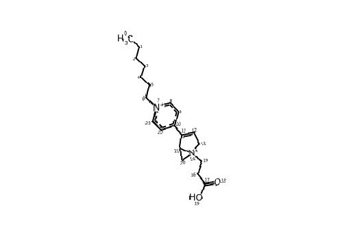 CCCCCCC[n+]1ccc(C2=CC[N+]3(CCC(=O)O)CC23)cc1